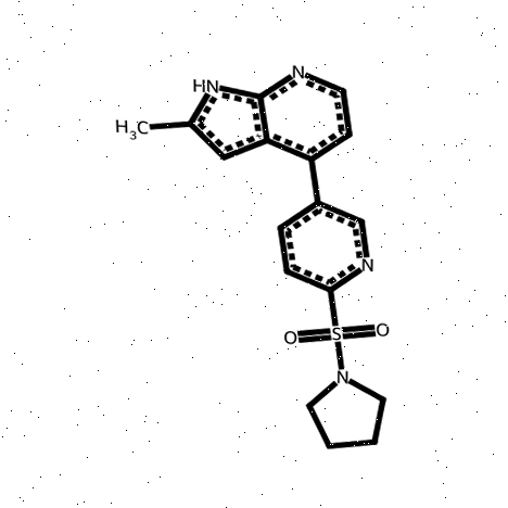 Cc1cc2c(-c3ccc(S(=O)(=O)N4CCCC4)nc3)ccnc2[nH]1